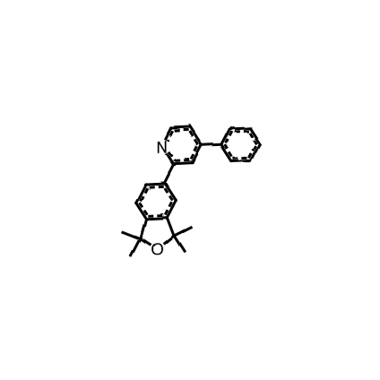 CC1(C)OC(C)(C)c2cc(-c3cc(-c4ccccc4)ccn3)ccc21